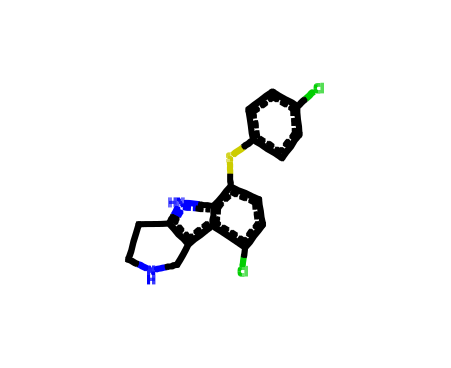 Clc1ccc(Sc2ccc(Cl)c3c4c([nH]c23)CCNC4)cc1